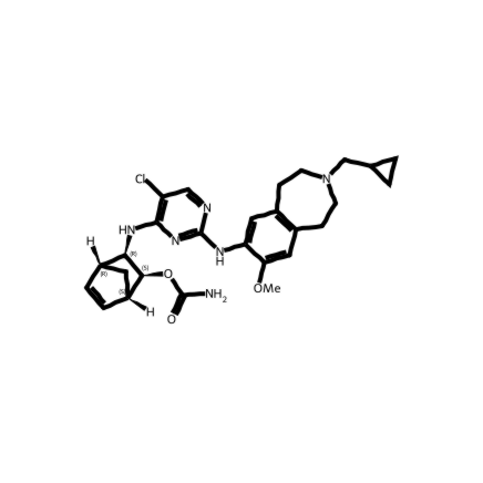 COc1cc2c(cc1Nc1ncc(Cl)c(N[C@H]3[C@@H](OC(N)=O)[C@@H]4C=C[C@H]3C4)n1)CCN(CC1CC1)CC2